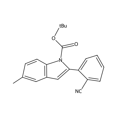 Cc1ccc2c(c1)cc(-c1ccccc1C#N)n2C(=O)OC(C)(C)C